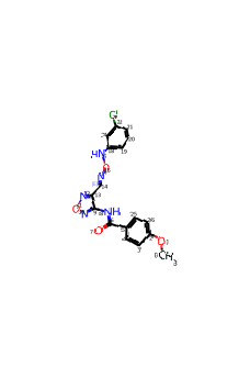 COc1ccc(C(=O)Nc2nonc2/C=N/ONc2cccc(Cl)c2)cc1